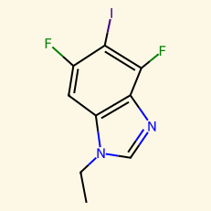 CCn1cnc2c(F)c(I)c(F)cc21